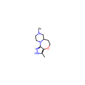 Cc1[nH]nc2c1OCCC1CN(C(C)C)CCN21